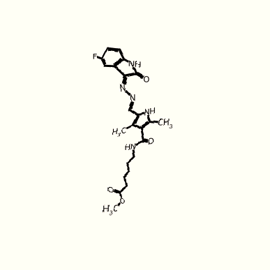 COC(=O)CCCCCNC(=O)c1c(C)[nH]c(C=NN=C2C(=O)Nc3ccc(F)cc32)c1C